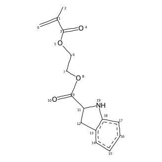 C=C(C)C(=O)OCCOC(=O)C1Cc2ccccc2N1